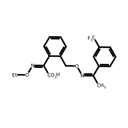 CCO/N=C(\C(=O)O)c1ccccc1CO/N=C(/C)c1cccc(C(F)(F)F)c1